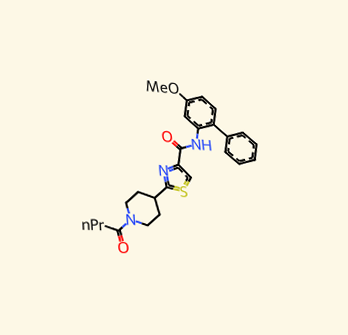 CCCC(=O)N1CCC(c2nc(C(=O)Nc3cc(OC)ccc3-c3ccccc3)cs2)CC1